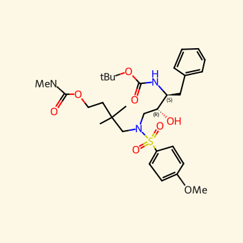 CNC(=O)OCCC(C)(C)CN(C[C@@H](O)[C@H](Cc1ccccc1)NC(=O)OC(C)(C)C)S(=O)(=O)c1ccc(OC)cc1